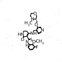 COc1c(F)cccc1NC(=S)C1=C(NCc2ccncc2OC[C@@H]2COCCN2C)CCNC1=O